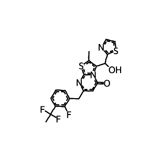 Cc1sc2nc(Cc3cccc(C(C)(F)F)c3F)cc(=O)n2c1C(O)c1nccs1